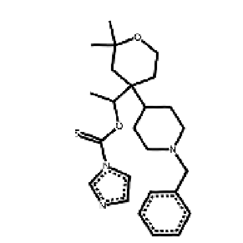 CC(OC(=S)n1ccnc1)C1(C2CCN(Cc3ccccc3)CC2)CCOC(C)(C)C1